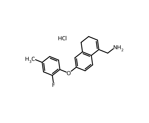 Cc1ccc(Oc2ccc3c(c2)CCC=C3CN)c(F)c1.Cl